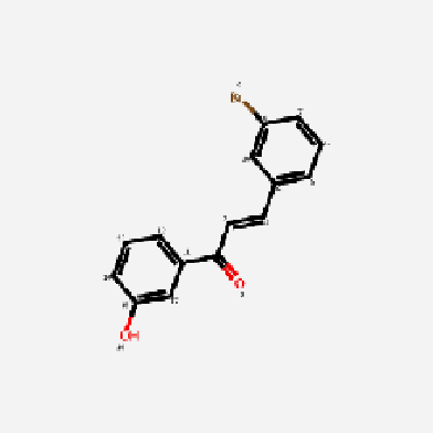 O=C(C=Cc1cccc(Br)c1)c1cccc(O)c1